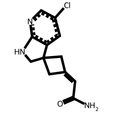 NC(=O)C=C1CC2(CNc3ncc(Cl)cc32)C1